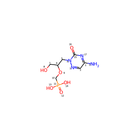 Nc1cnn(CC(CO)OCP(=O)(O)O)c(=O)n1